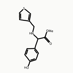 COC(=O)C(NCc1ccsc1)c1ccc(O)cc1